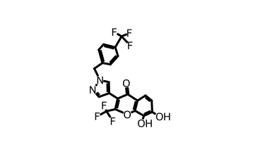 O=c1c(-c2cnn(Cc3ccc(C(F)(F)F)cc3)c2)c(C(F)(F)F)oc2c(O)c(O)ccc12